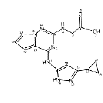 O=C(O)CNc1nc(Nc2cc(C3CC3)n[nH]2)c2cccn2n1